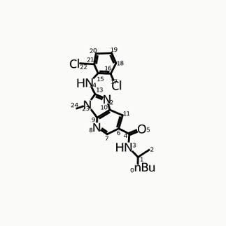 CCCCC(C)NC(=O)c1cnc2c(c1)nc(Nc1c(Cl)cccc1Cl)n2C